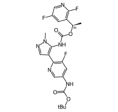 C[C@@H](OC(=O)Nc1c(-c2ncc(NC(=O)OC(C)(C)C)cc2F)cnn1C)c1cc(F)cnc1F